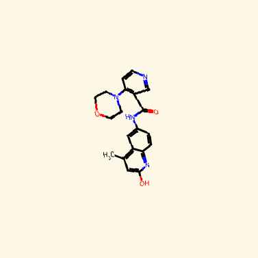 Cc1cc(O)nc2ccc(NC(=O)c3cnccc3N3CCOCC3)cc12